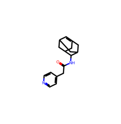 O=C(Cc1ccncc1)NC1C2CC3=CC(C2)CC1C3